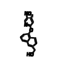 O=[N+]([O-])c1ccc(Oc2cccc3cc(CO)ccc23)nc1